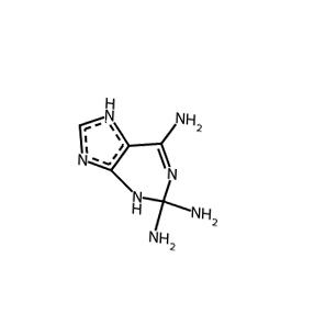 NC1=NC(N)(N)Nc2nc[nH]c21